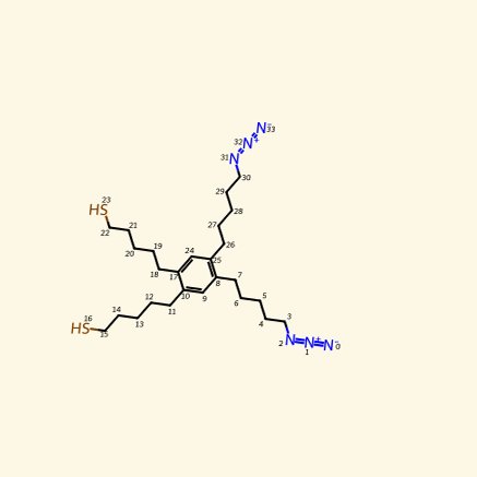 [N-]=[N+]=NCCCCCc1cc(CCCCCS)c(CCCCCS)cc1CCCCCN=[N+]=[N-]